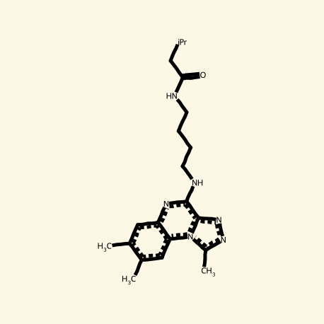 Cc1cc2nc(NCCCCNC(=O)CC(C)C)c3nnc(C)n3c2cc1C